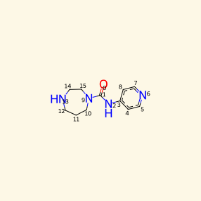 O=C(Nc1ccncc1)N1CCCNCC1